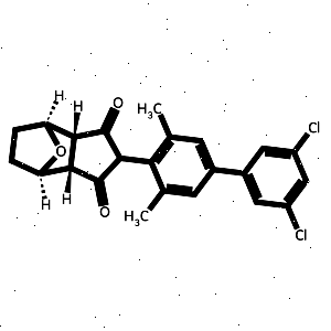 Cc1cc(-c2cc(Cl)cc(Cl)c2)cc(C)c1C1C(=O)[C@@H]2[C@H](C1=O)[C@H]1CC[C@@H]2O1